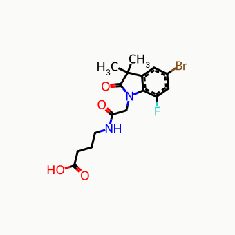 CC1(C)C(=O)N(CC(=O)NCCCC(=O)O)c2c(F)cc(Br)cc21